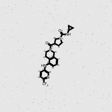 O=C(NC1CC1)N1CCC(C(=O)N2CCc3c(cccc3Nc3ccc(C(F)(F)F)nc3)C2)C1